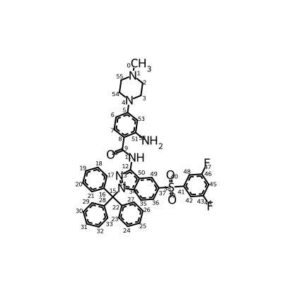 CN1CCN(c2ccc(C(=O)Nc3nn(C(c4ccccc4)(c4ccccc4)c4ccccc4)c4ccc(S(=O)(=O)c5cc(F)cc(F)c5)cc34)c(N)c2)CC1